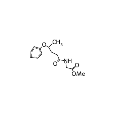 COC(=O)CNC(=O)CCC(C)Oc1ccccc1